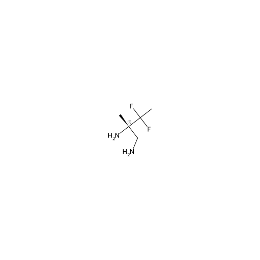 CC(F)(F)[C@@](C)(N)CN